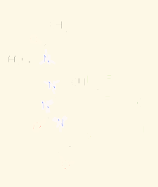 C=CC(=O)N1C[C@H](C)N(c2nc(=O)n3c4c(c(-c5ccc(F)c(Cl)c5)c(C(F)(F)F)cc24)SCC2(COC2)C3)C[C@H]1C